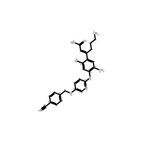 CCCC/C(=C\C(=O)O)c1cc(C)c(Oc2ccc(OCc3ccc(C#N)cc3)cn2)cc1Cl